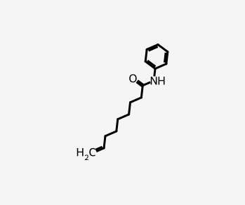 C=CCCCCCCC(=O)Nc1ccccc1